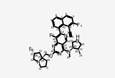 C#Cc1c(F)ccc2cccc(-c3ncc4c(N(C)[C@H]5CNC[C@H]5C)nc(OC[C@@]56CCCN5C[C@H](F)C6)nc4c3F)c12